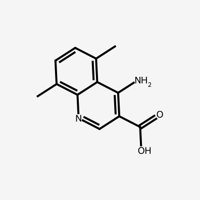 Cc1ccc(C)c2c(N)c(C(=O)O)cnc12